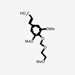 COCCOCOc1c(OC)cc(C=CC(=O)O)cc1OC